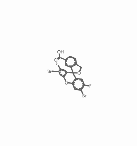 O=C(O)c1ccc2c(c1)C1(OC2)c2cc(F)c(Br)cc2Oc2cc(Br)c(F)cc21